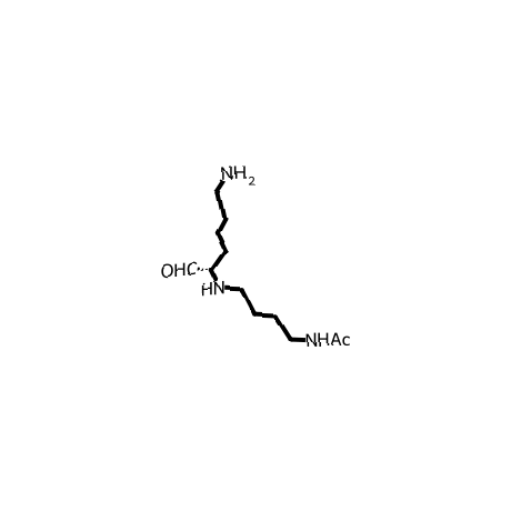 CC(=O)NCCCCN[C@H](C=O)CCCCN